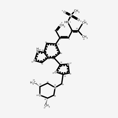 C=C/C(=C\C(NS(C)(=O)=O)=C(C)C)c1cc(-c2ncc(CN3C[C@@H](C)O[C@@H](C)C3)o2)c2cn[nH]c2c1